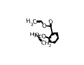 C=CO.C=COC(=O)c1ccccc1OC(C)=O